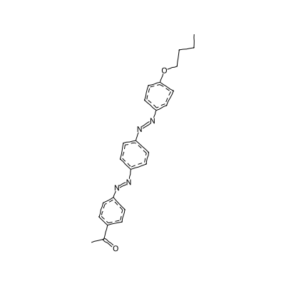 CCCCOc1ccc(N=Nc2ccc(N=Nc3ccc(C(C)=O)cc3)cc2)cc1